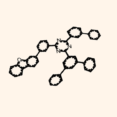 c1ccc(-c2cccc(-c3nc(-c4cccc(-c5ccc6c(c5)oc5ccccc56)c4)nc(-c4cc(-c5ccccc5)cc(-c5ccccc5)c4)n3)c2)cc1